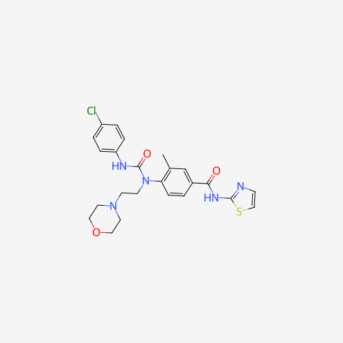 Cc1cc(C(=O)Nc2nccs2)ccc1N(CCN1CCOCC1)C(=O)Nc1ccc(Cl)cc1